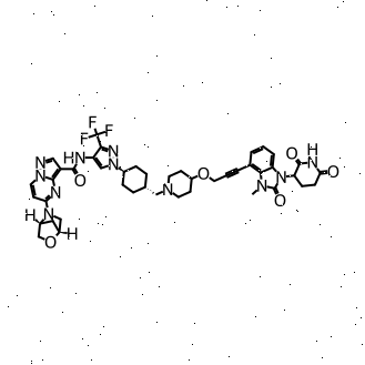 Cn1c(=O)n(C2CCC(=O)NC2=O)c2cccc(C#CCOC3CCN(C[C@H]4CC[C@H](n5cc(NC(=O)c6cnn7ccc(N8C[C@H]9C[C@@H]8CO9)nc67)c(C(F)(F)F)n5)CC4)CC3)c21